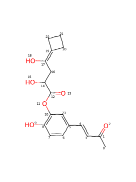 CC(=O)/C=C/c1ccc(O)c(OC(=O)C(O)CC(O)=C2CCC2)c1